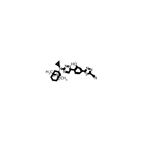 C[C@]12CCC[C@](C)(C[C@@H](N(c3ncc(-c4ccc(-c5nnc(C#N)s5)cc4O)nn3)C3CC3)C1)N2